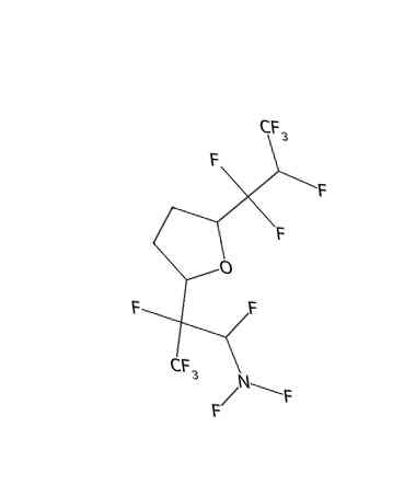 FC(C(F)(F)F)C(F)(F)C1CCC(C(F)(C(F)N(F)F)C(F)(F)F)O1